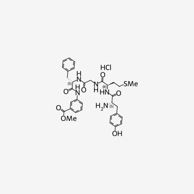 COC(=O)c1cccc(NC(=O)[C@H](Cc2ccccc2)NC(=O)CNC(=O)[C@@H](CCSC)NC(=O)[C@@H](N)Cc2ccc(O)cc2)c1.Cl